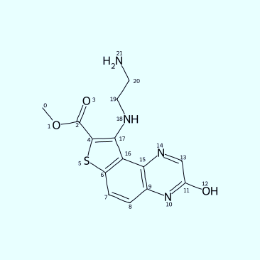 COC(=O)c1sc2ccc3nc(O)cnc3c2c1NCCN